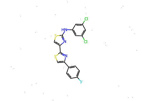 Fc1ccc(-c2csc(-c3csc(Nc4cc(Cl)cc(Cl)c4)n3)n2)cc1